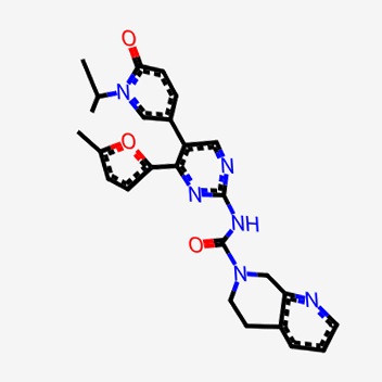 Cc1ccc(-c2nc(NC(=O)N3CCc4cccnc4C3)ncc2-c2ccc(=O)n(C(C)C)c2)o1